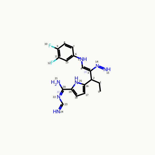 CCC(/C(=C/Nc1ccc(F)c(F)c1)N=N)c1ccc(/C(N)=N\C=N)[nH]1